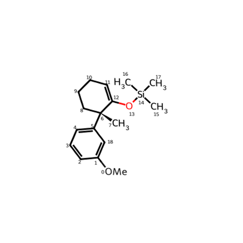 COc1cccc([C@]2(C)CCCC=C2O[Si](C)(C)C)c1